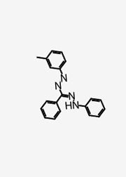 Cc1cccc(N=NC(=NNc2ccccc2)c2ccccc2)c1